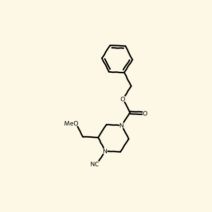 COCC1CN(C(=O)OCc2ccccc2)CCN1C#N